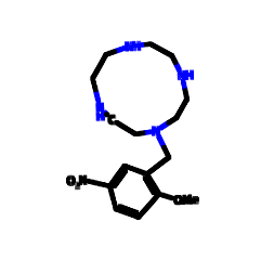 COc1ccc([N+](=O)[O-])cc1CN1CCNCCNCCNCC1